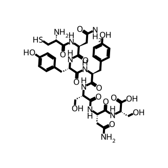 NC(=O)C[C@H](NC(=O)[C@H](CO)NC(=O)[C@H](Cc1ccc(O)cc1)NC(=O)[C@H](Cc1ccc(O)cc1)NC(=O)[C@H](CC(N)=O)NC(=O)[C@@H](N)CS)C(=O)N[C@@H](CO)C(=O)O